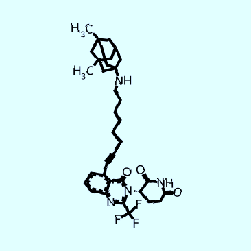 CC12CC3CC(C)(C1)CC(NCCCCCCC#Cc1cccc4nc(C(F)(F)F)n([C@H]5CCC(=O)NC5=O)c(=O)c14)(C3)C2